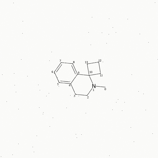 CN1CCc2c[c]ccc2C12CCC2